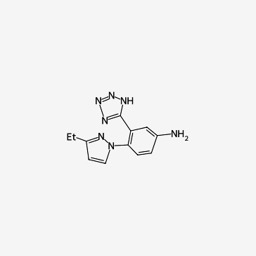 CCc1ccn(-c2ccc(N)cc2-c2nnn[nH]2)n1